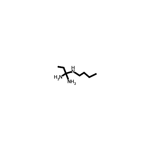 CCCCNC(N)(N)CC